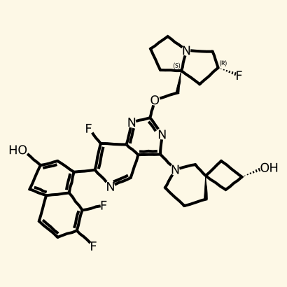 Oc1cc(-c2ncc3c(N4CCC[C@]5(C4)C[C@@H](O)C5)nc(OC[C@@]45CCCN4C[C@H](F)C5)nc3c2F)c2c(F)c(F)ccc2c1